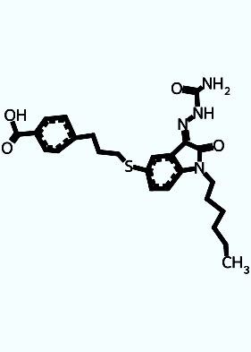 CCCCCCN1C(=O)C(=NNC(N)=O)c2cc(SCCCc3ccc(C(=O)O)cc3)ccc21